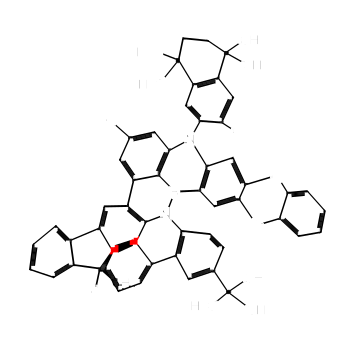 Cc1cc2c3c(c1)N(c1cc4c(cc1C)C(C)(C)CCC4(C)C)c1cc4c(cc1B3N(c1ccc(C(C)(C)C)cc1-c1ccccc1)c1cc3c(cc1-2)-c1ccccc1C3(C)C)Oc1ccccc1O4